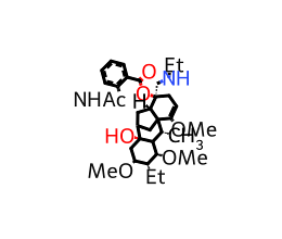 CCNC[C@]1(OC(=O)c2ccccc2NC(C)=O)CC=C(OC)C23CC(C[C@@H]21)[C@@]1(O)C[C@H](OC)[C@@H](CC)[C@H](OC)C1[C@H]3C